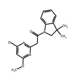 COc1cc(Cl)nc(CC(=O)N2CC(C)(C)c3ccccc32)n1